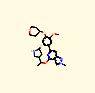 COc1cc(-c2cc3nn(C)cc3c(OC(C)C3CNC(=O)C3)n2)ccc1OC1CCOCC1